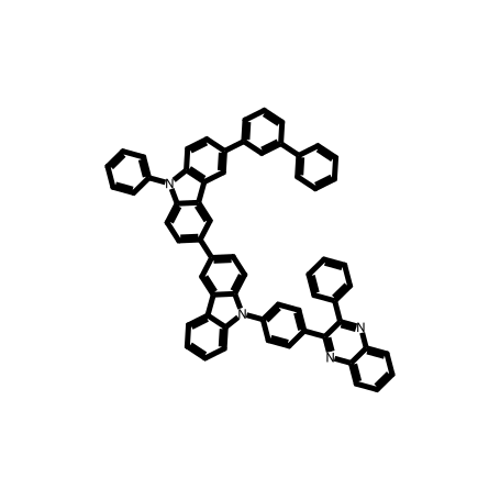 c1ccc(-c2cccc(-c3ccc4c(c3)c3cc(-c5ccc6c(c5)c5ccccc5n6-c5ccc(-c6nc7ccccc7nc6-c6ccccc6)cc5)ccc3n4-c3ccccc3)c2)cc1